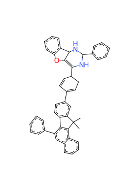 CC1(C)c2cc(C3=CCC(C4=C5Oc6ccccc6C5NC(c5ccccc5)N4)C=C3)ccc2-c2c(-c3ccccc3)cc3ccccc3c21